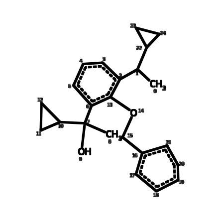 CC(c1cccc(C(C)(O)C2CC2)c1OCc1ccccc1)C1CC1